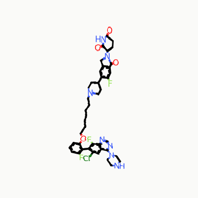 O=C1CCC(N2Cc3cc(C4CCN(CCCCCCCOc5cccc(F)c5-c5c(Cl)cc6c(N7CCNCC7)ncnc6c5F)CC4)c(F)cc3C2=O)C(=O)N1